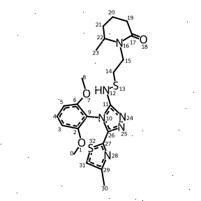 COc1cccc(OC)c1-n1c(NSCCN2C(=O)CCCC2C)nnc1-c1nc(C)cs1